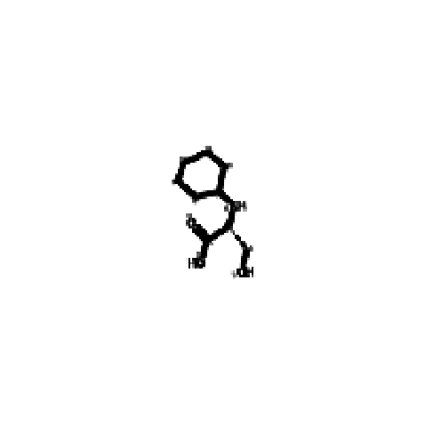 O=C(O)[C@@H](CO)NC1CCCCC1